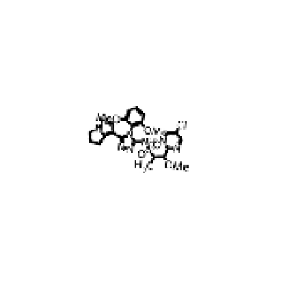 COc1cccc(OC)c1-n1c(NS(=O)(=O)C(C)C(OC)c2ncc(Cl)cn2)nnc1-c1cnn2c1CCC2